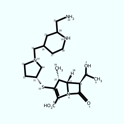 CC(O)[C@H]1C(=O)N2C(C(=O)O)=C(S[C@@H]3CCN(CC4CCNC(CN)C4)C3)[C@H](C)[C@H]12